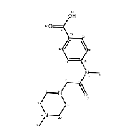 CN1CCN(CC(=O)N(C)c2ccc(C(=O)O)cc2)CC1